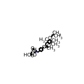 CC(C)=CCOc1c(C)c(C)c2c(c1C)CCC(C)(COc1ccc(/C=C3\SC(=O)N(CC(=O)O)C3=O)cc1)O2